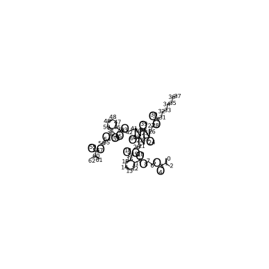 C=C(C)C(=O)OCCOC(=O)c1ccccc1C(=O)OCCn1c(=O)n(CCOC(=O)CCCCCCC)c(=O)n(CCOC(=O)c2ccccc2C(=O)OCCOC(=O)C(=C)C)c1=O